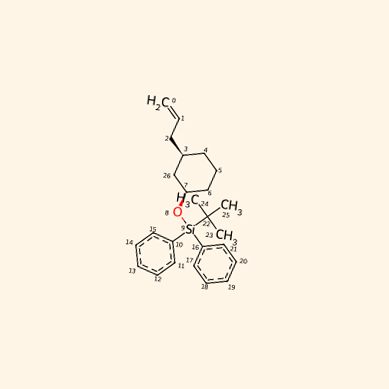 C=CC[C@H]1CCC[C@@H](O[Si](c2ccccc2)(c2ccccc2)C(C)(C)C)C1